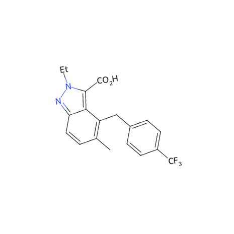 CCn1nc2ccc(C)c(Cc3ccc(C(F)(F)F)cc3)c2c1C(=O)O